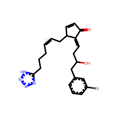 CCc1cccc(CC(O)C/C=C2/C(=O)C=CC2C/C=C\CCCc2nnn[nH]2)c1